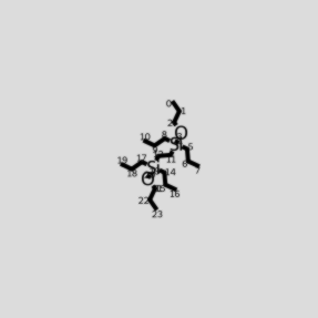 CCCO[Si](CCC)(CCC)CC[Si](CCC)(CCC)OCCC